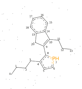 CCCCc1cc[pH]c1C1=C(CCC)c2ccccc2[CH]1